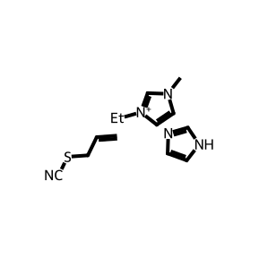 C=CCSC#N.CC[n+]1ccn(C)c1.c1c[nH]cn1